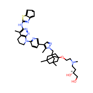 Cc1c(Nc2nc3ccccc3s2)nnc2c1CCCN2c1ccc(-c2cnn(CC34CC5(C)CC(C)(C3)CC(OCCN(C)CC[C@@H](O)CO)(C5)C4)c2C)cn1